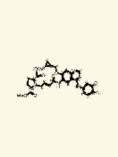 COC(=O)[C@@H]1CC[C@@H](C(=O)OC)N1CC=CC(=O)Nc1cc2c(Nc3ccc(F)c(Cl)c3)ncnc2cc1OCC1CC1